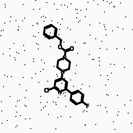 O=C(OCc1ccccc1)N1CCN(c2cc(Cl)nc(-c3ccc(F)cc3)c2)CC1